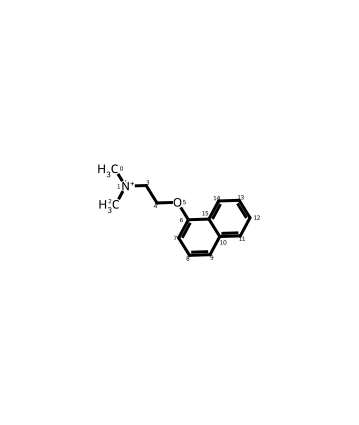 C[N+](C)CCOc1cccc2ccccc12